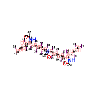 CC(=O)NB(B(I)B(I)BBB(I)I)B(I)B(I)B(I)B(I)B(I)B(I)N(B(I)B(I)B(I)B(I)B(I)B(I)B(NC(C)=O)B(I)B(I)BBB(I)I)C(C)=O